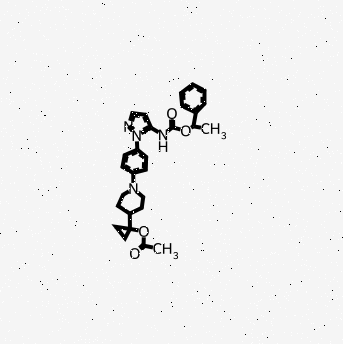 CC(=O)OC1(C2CCN(c3ccc(-n4nccc4NC(=O)OC(C)c4ccccc4)cc3)CC2)CC1